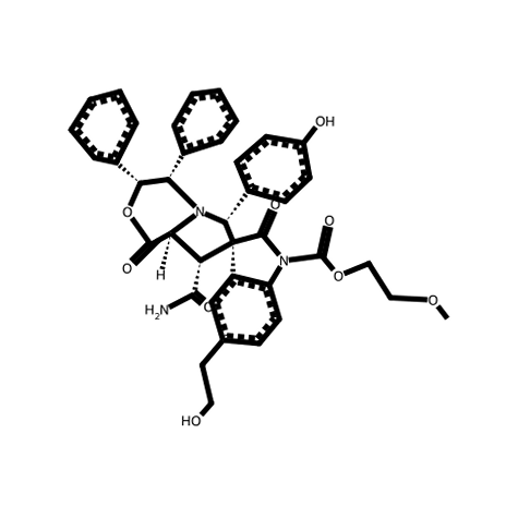 COCCOC(=O)N1C(=O)[C@@]2(c3cc(CCO)ccc31)[C@H](C(N)=O)[C@H]1C(=O)O[C@H](c3ccccc3)[C@H](c3ccccc3)N1[C@@H]2c1ccc(O)cc1